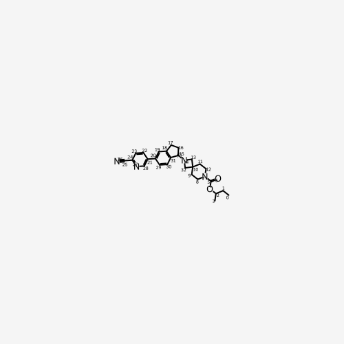 CCC(C)OC(=O)N1CCC2(CC1)CN([C@@H]1CCc3cc(-c4ccc(C#N)nc4)ccc31)C2